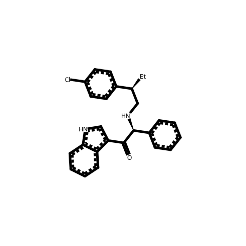 CC[C@@H](CN[C@H](C(=O)c1c[nH]c2ccccc12)c1ccccc1)c1ccc(Cl)cc1